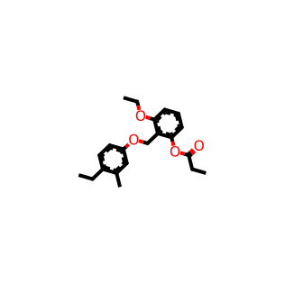 CCOc1cccc(OC(=O)CC)c1COc1ccc(CC)c(C)c1